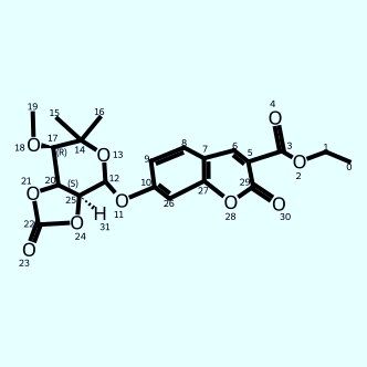 CCOC(=O)c1cc2ccc(OC3OC(C)(C)[C@H](OC)C4OC(=O)O[C@H]34)cc2oc1=O